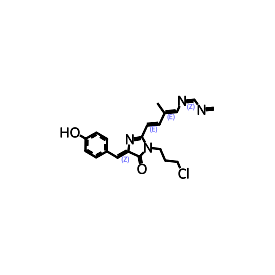 C=N\C=N/C=C(C)/C=C/C1=NC(=C\c2ccc(O)cc2)/C(=O)N1CCCCl